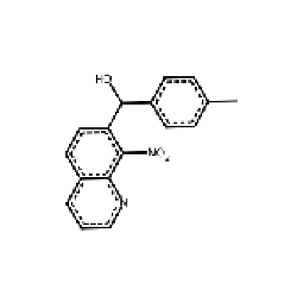 Cc1ccc(C(O)c2ccc3cccnc3c2[N+](=O)[O-])cc1